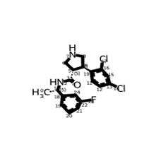 C[C@H](NC(=O)[C@@H]1CNC[C@H]1c1ccc(Cl)cc1Cl)c1cccc(F)c1